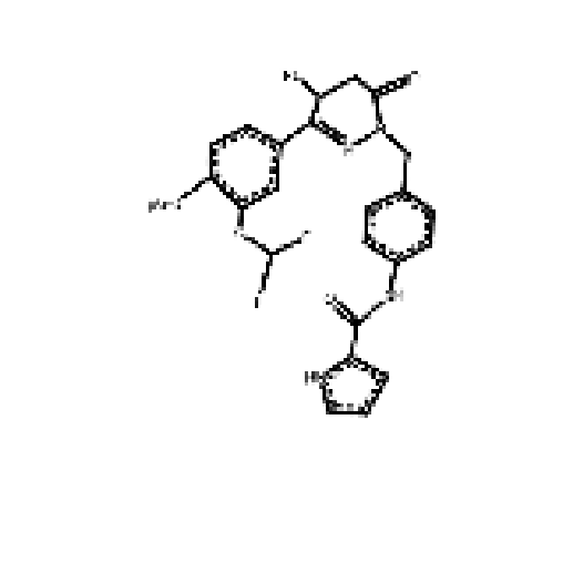 CCC1CC(=O)N(Cc2ccc(NC(=O)c3ccc[nH]3)cc2)N=C1c1ccc(OC)c(OC(F)F)c1